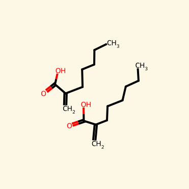 C=C(CCCCC)C(=O)O.C=C(CCCCCC)C(=O)O